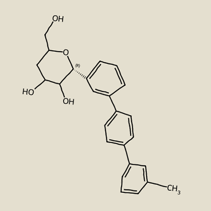 Cc1cccc(-c2ccc(-c3cccc([C@H]4OC(CO)CC(O)C4O)c3)cc2)c1